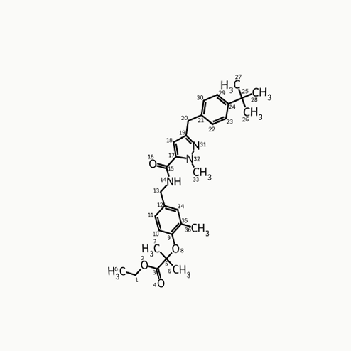 CCOC(=O)C(C)(C)Oc1ccc(CNC(=O)c2cc(Cc3ccc(C(C)(C)C)cc3)nn2C)cc1C